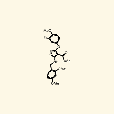 COC(=O)c1c(Oc2ccc(OC)c(F)c2)nsc1NCc1ccc(OC)cc1OC